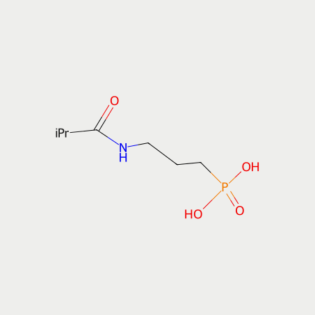 CC(C)C(=O)NCCCP(=O)(O)O